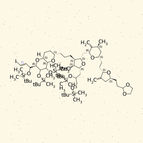 C=C1C[C@H](CCC2OCCO2)O[C@H]1CC[C@H]1C[C@H](C)C(=C)[C@@H](C[C@@H]2O[C@H](CC(CO[Si](C)(C)C(C)(C)C)O[Si](C)(C)C(C)(C)C)[C@@H](OC)[C@H]2CCC[C@H]2CC[C@@H]3O[C@H](C(/C=C/I)O[Si](C)(C)C(C)(C)C)C(O[Si](C)(C)C(C)(C)C)C(O[Si](C)(C)C(C)(C)C)[C@@H]3O2)O1